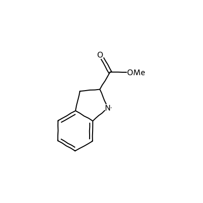 COC(=O)C1Cc2ccccc2[N]1